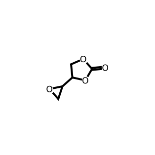 O=C1OCC(C2CO2)O1